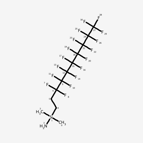 C[Si](C)(N)CCC(F)(F)C(F)(F)C(F)(F)C(F)(F)C(F)(F)C(F)(F)C(F)(F)C(F)(F)F